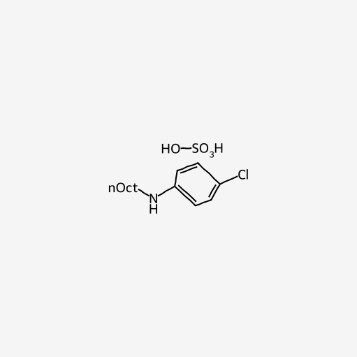 CCCCCCCCNc1ccc(Cl)cc1.O=S(=O)(O)O